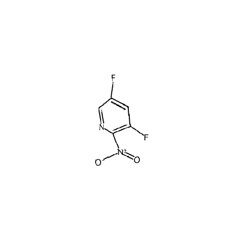 O=[N+]([O-])c1ncc(F)cc1F